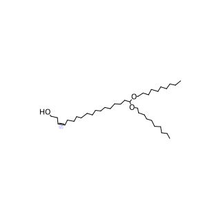 CCCCCCCCCCOC(CCCCCCCCCCCCC/C=C\CCO)OCCCCCCCCCC